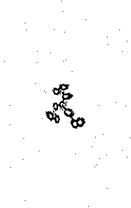 c1cc(-c2cc(-c3cccc(-n4c5ccccc5c5ccccc54)c3)nc(-c3ccc(-c4cccc5ccccc45)cc3)n2)cc(-n2c3ccccc3c3ccccc32)c1